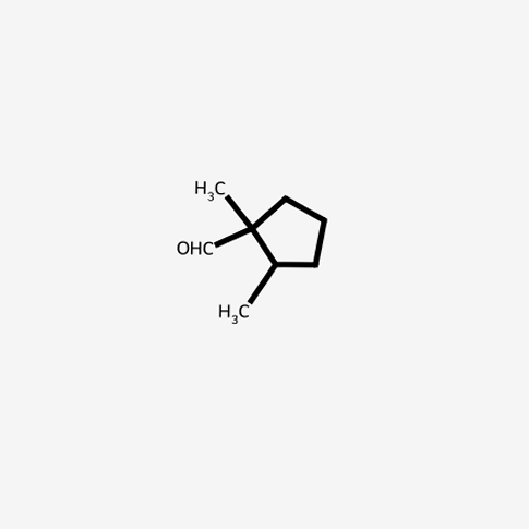 CC1CCCC1(C)C=O